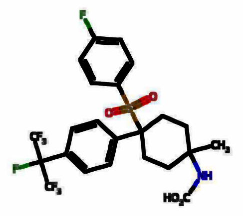 CC1(NC(=O)O)CCC(c2ccc(C(F)(C(F)(F)F)C(F)(F)F)cc2)(S(=O)(=O)c2ccc(F)cc2)CC1